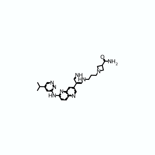 CC(C)c1cnnc(Nc2ccc3ncc(/C(C=N)=C/NCCCN4CC(C(N)=O)C4)cc3n2)c1